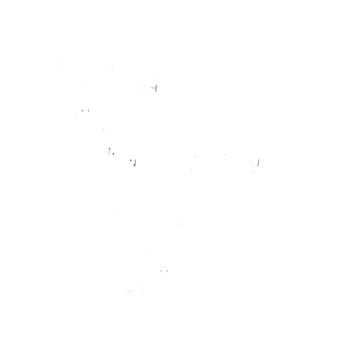 COc1ccc(-n2nc(OC(=O)O)c(C)c2-c2ccc(C)s2)cc1